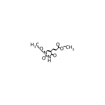 CCOCn1cc(/C=C/C(=O)OCC)c(=O)[nH]c1=O